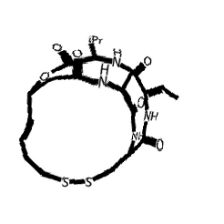 C/C=C1\NC(=O)C2CSSCC/C=C/C(CC(=O)NC(C)C(=O)N2)OC(=O)C(C(C)C)NC1=O